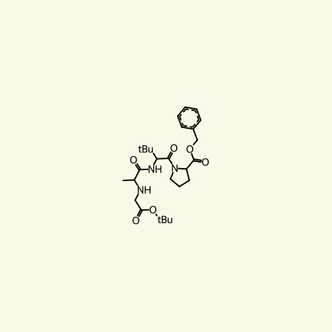 CC(NCC(=O)OC(C)(C)C)C(=O)NC(C(=O)N1CCCC1C(=O)OCc1ccccc1)C(C)(C)C